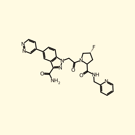 NC(=O)c1nn(CC(=O)N2C[C@H](F)CC2C(=O)NCc2ccccn2)c2ccc(-c3ccnnc3)cc12